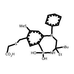 CCCCC1(CC)CN(c2ccccc2)c2cc(SC)c(CSCC(=O)O)cc2S(O)(O)N1